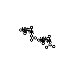 c1ccc(-c2cc(-c3ccccc3)cc(-c3ncc4c5ccccc5c5cnc(-n6c7ccccc7n7c8ccc(-c9ccc%10c(c9)c9ccccc9c9ccc(-c%11ncc%12c%13ccccc%13c%13cnc(-n%14c%15ccccc%15n%15c%16ccccc%16nc%14%15)nc%13c%12n%11)cc9%10)cc8nc67)nc5c4n3)c2)cc1